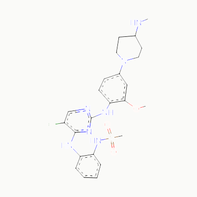 CNC1CCN(c2ccc(Nc3ncc(Cl)c(Nc4ccccc4NS(C)(=O)=O)n3)c(OC)c2)CC1